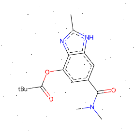 Cc1nc2c(OC(=O)C(C)(C)C)cc(C(=O)N(C)C)cc2[nH]1